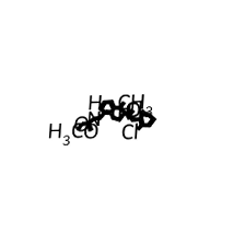 COC(=O)NCc1cccc2c1CCN(C(=O)Cc1c(Cl)cccc1Cl)C2C